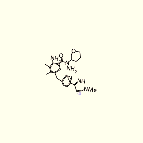 CN/C=C\C(=N)c1ccc(Cc2cc(C(=O)N(N)C3CCCOC3)c(N)c(C)c2C)cn1